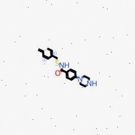 C=C/C=C\C(=C/C)CSNC(=O)c1ccc(N2CCNCC2)cc1